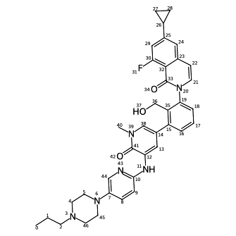 CCCN1CCN(c2ccc(Nc3cc(-c4cccc(-n5ccc6cc(C7CC7)cc(F)c6c5=O)c4CO)cn(C)c3=O)nc2)CC1